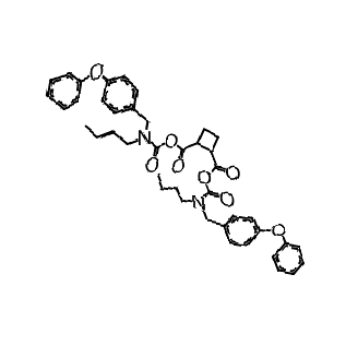 CCCCN(Cc1ccc(Oc2ccccc2)cc1)C(=O)OC(=O)C1CCC1C(=O)OC(=O)N(CCCC)Cc1ccc(Oc2ccccc2)cc1